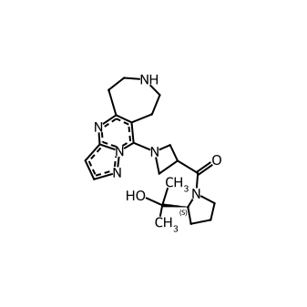 CC(C)(O)[C@@H]1CCCN1C(=O)C1CN(c2c3c(nc4ccnn24)CCNCC3)C1